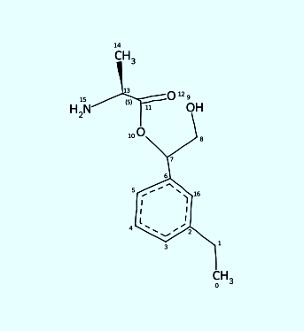 CCc1cccc(C(CO)OC(=O)[C@H](C)N)c1